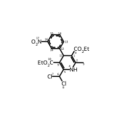 CCOC(=O)C1=C(C)NC(C(Cl)Cl)=C(C(=O)OCC)C1c1cccc([N+](=O)[O-])c1